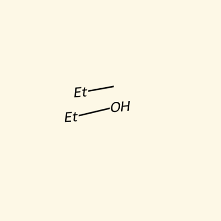 CCC.CCO